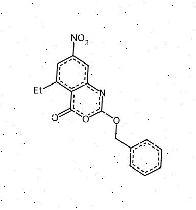 CCc1cc([N+](=O)[O-])cc2nc(OCc3ccccc3)oc(=O)c12